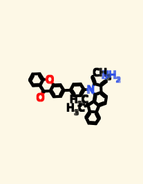 C/C=c1\c(=C/N)c2ccc3c(c2n1-c1ccc(-c2ccc4c(=O)c5ccccc5oc4c2)cc1)C(C)(C)c1ccccc1-3